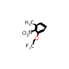 Cc1cccc(OCC(F)(F)F)c1[N+](=O)[O-]